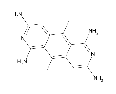 Cc1c2cc(N)nc(N)c2c(C)c2cc(N)nc(N)c12